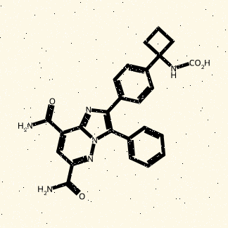 NC(=O)c1cc(C(N)=O)c2nc(-c3ccc(C4(NC(=O)O)CCC4)cc3)c(-c3ccccc3)n2n1